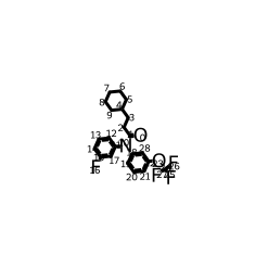 O=C(CCC1CCCCC1)N(c1cccc(F)c1)c1cccc(OC(F)(F)F)c1